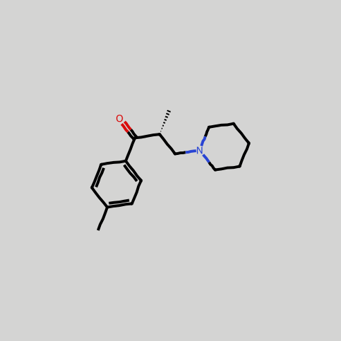 Cc1ccc(C(=O)[C@H](C)CN2CCCCC2)cc1